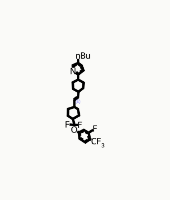 CCCCc1ccc(C2CCC(/C=C/C3CCC(C(F)(F)Oc4ccc(C(F)(F)F)c(F)c4)CC3)CC2)nc1